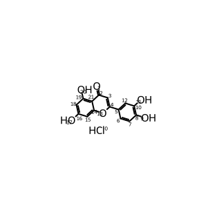 Cl.O=c1cc(-c2ccc(O)c(O)c2)oc2cc(O)cc(O)c12